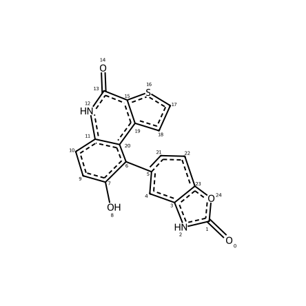 O=c1[nH]c2cc(-c3c(O)ccc4[nH]c(=O)c5sccc5c34)ccc2o1